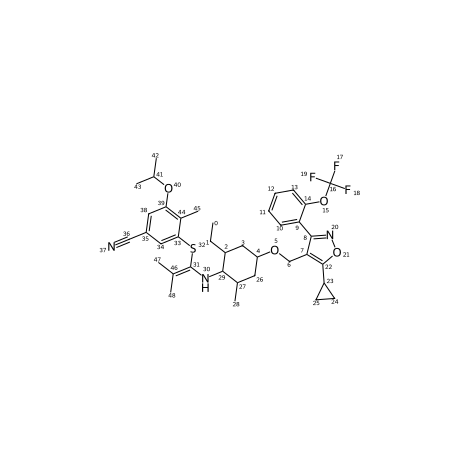 CCC1CC(OCc2c(-c3ccccc3OC(F)(F)F)noc2C2CC2)CC(C)C1NC(Sc1cc(C#N)cc(OC(C)C)c1C)=C(C)C